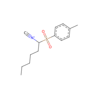 [C-]#[N+]C(CCCCC)S(=O)(=O)c1ccc(C)cc1